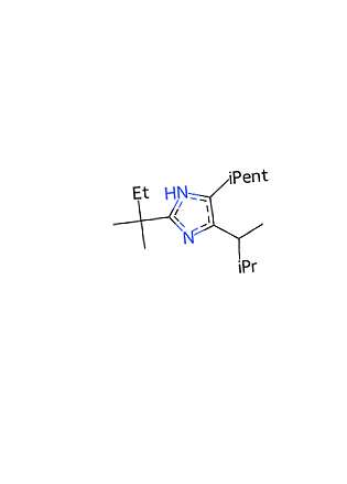 CCCC(C)c1[nH]c(C(C)(C)CC)nc1C(C)C(C)C